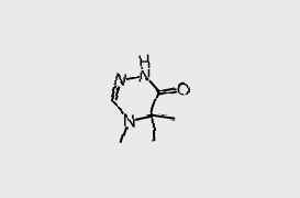 CN1C=NNC(=O)C1(C)C